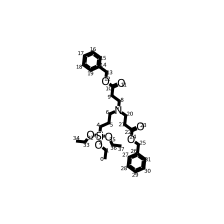 CCO[Si](CCCN(CCC(=O)OCc1ccccc1)CCC(=O)OCc1ccccc1)(OCC)OCC